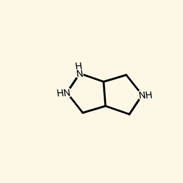 C1NCC2NNCC12